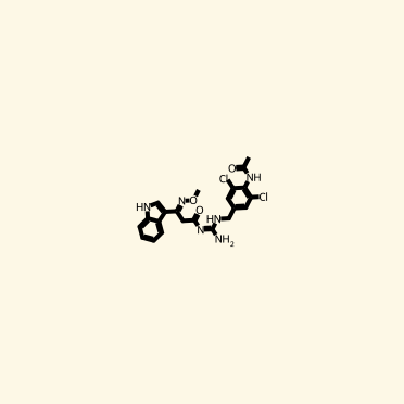 CO/N=C(\CC(=O)/N=C(/N)NCc1cc(Cl)c(NC(C)=O)c(Cl)c1)c1c[nH]c2ccccc12